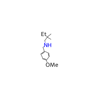 CCC(C)(C)CNCc1ccc(OC)cc1